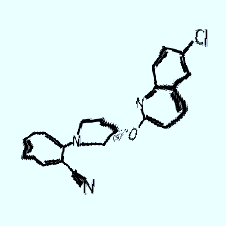 N#Cc1ccccc1N1CC[C@H](Oc2ccc3cc(Cl)ccc3n2)C1